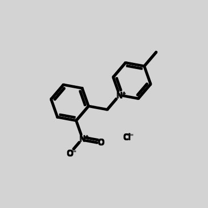 Cc1cc[n+](Cc2ccccc2[N+](=O)[O-])cc1.[Cl-]